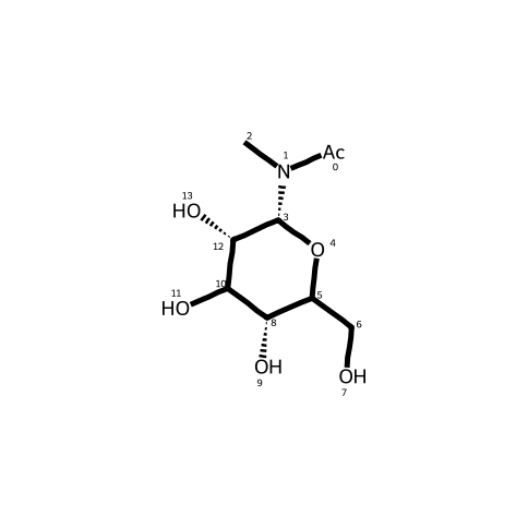 CC(=O)N(C)[C@@H]1OC(CO)[C@H](O)C(O)[C@@H]1O